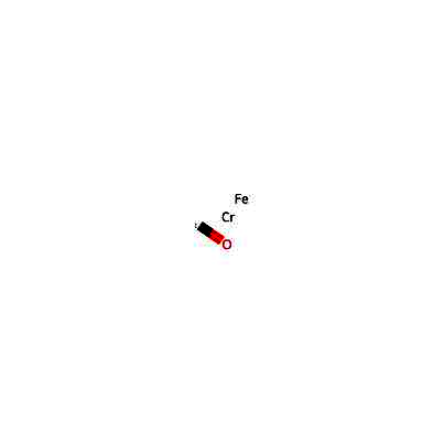 [C]=O.[Cr].[Fe]